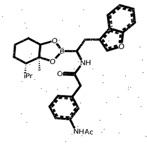 CC(=O)Nc1cccc(CC(=O)NC(Cc2coc3ccccc23)B2OC3CCC[C@@H](C(C)C)[C@]3(C)O2)c1